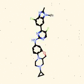 Cc1nc2c(F)cc(-c3nc(Nc4ccc5c(c4)OCC4CN(C6CC6)CCN54)ncc3F)cc2n1C(C)C